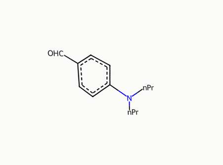 CCCN(CCC)c1ccc(C=O)cc1